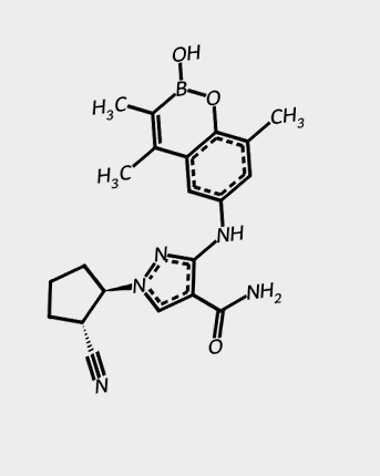 CC1=C(C)c2cc(Nc3nn([C@@H]4CCC[C@H]4C#N)cc3C(N)=O)cc(C)c2OB1O